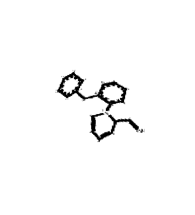 N=CC1C=CC=CN1c1ccccc1Cc1ccccc1